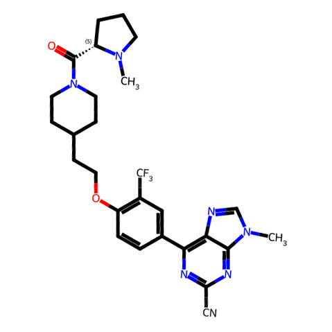 CN1CCC[C@H]1C(=O)N1CCC(CCOc2ccc(-c3nc(C#N)nc4c3ncn4C)cc2C(F)(F)F)CC1